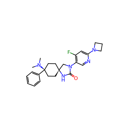 CN(C)[C@]1(c2ccccc2)CC[C@@]2(CC1)CN(c1cnc(N3CCC3)cc1F)C(=O)N2